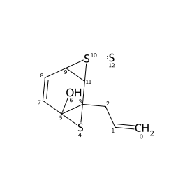 C=CCC12SC1(O)C=CC1SC12.[S]